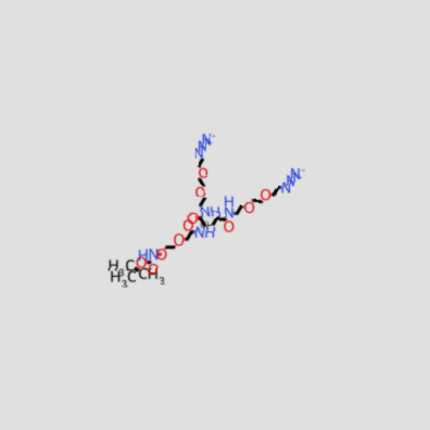 CC(C)(C)OC(=O)NOCCOCC(=O)N[C@@H](CCC(=O)NCCOCCOCCN=[N+]=[N-])C(=O)NCCOCCOCCN=[N+]=[N-]